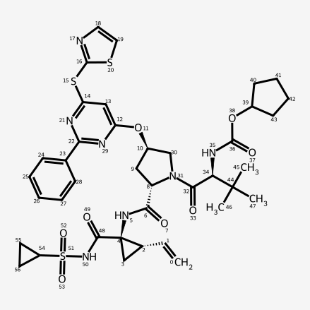 C=C[C@@H]1C[C@]1(NC(=O)[C@@H]1C[C@@H](Oc2cc(Sc3nccs3)nc(-c3ccccc3)n2)CN1C(=O)[C@@H](NC(=O)OC1CCCC1)C(C)(C)C)C(=O)NS(=O)(=O)C1CC1